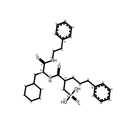 O=C(N[C@@H](CC1CCCCC1)C(=O)NCCc1ccccc1)C(CCCc1ccccc1)CP(=O)(O)O